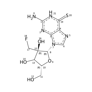 Nc1nc2c(ncn2[C@@H]2O[C@H](CO)C(O)[C@]2(O)CF)c(=S)[nH]1